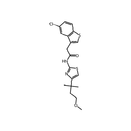 COCCC(C)(C)c1csc(NC(=O)Cc2csc3ccc(Cl)cc23)n1